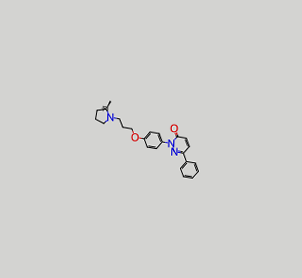 C[C@@H]1CCCN1CCCOc1ccc(-n2nc(-c3ccccc3)ccc2=O)cc1